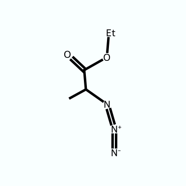 CCOC(=O)C(C)N=[N+]=[N-]